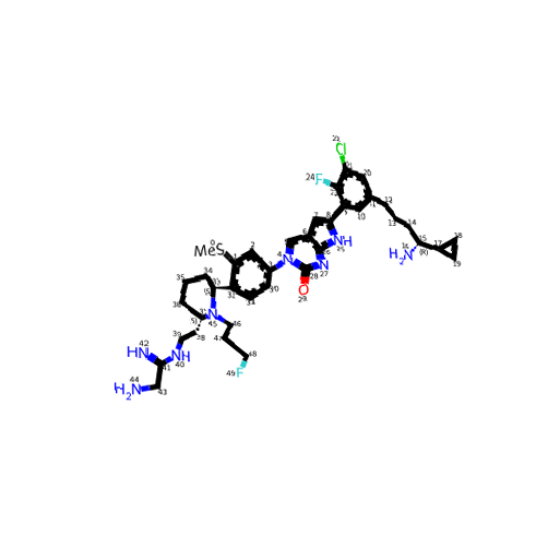 CSc1cc(-n2cc3cc(-c4cc(CCC[C@@H](N)C5CC5)cc(Cl)c4F)[nH]c3nc2=O)ccc1[C@@H]1CCC[C@@H](CCNC(=N)CN)N1CCCF